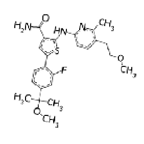 COCCc1ccc(Nc2sc(-c3ccc(C(C)(C)OC)cc3F)cc2C(N)=O)nc1C